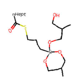 CCCCCCCC(=O)SCCC[Si]1(OCC(C)CO)OCC(C)CO1